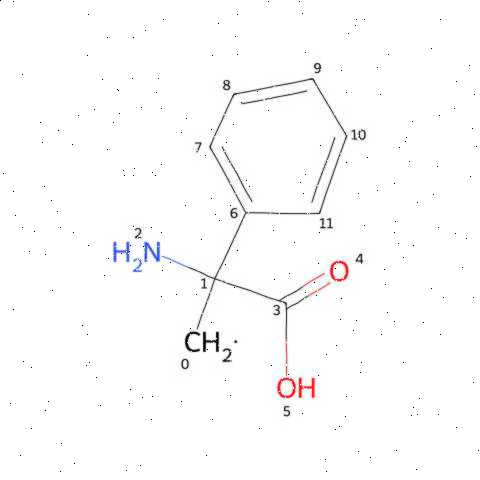 [CH2]C(N)(C(=O)O)c1ccccc1